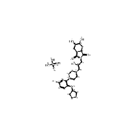 O=C1C2CC(O)C(O)CC2C(=O)N1CC(O)CN1CCN(c2cc(F)ccc2OC2CCCC2)CC1.O=P(O)(O)O